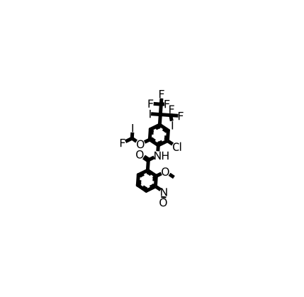 COc1c(N=O)cccc1C(=O)Nc1c(Cl)cc(C(I)(C(F)(F)F)C(F)(F)I)cc1OC(F)I